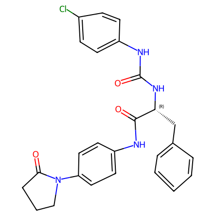 O=C(Nc1ccc(Cl)cc1)N[C@H](Cc1ccccc1)C(=O)Nc1ccc(N2CCCC2=O)cc1